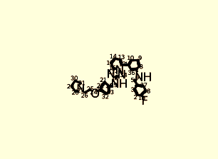 Fc1ccc(CNc2cccc(-c3cccc4nc(Nc5ccc(OCCN6CCCC6)cc5)nn34)c2)cc1